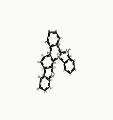 c1ccc2c(c1)nc1c3ccccc3c3ccc4c5ccccc5oc4c3n21